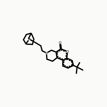 CC(C)(C)c1ccc2c3c(c(=O)oc2c1)CN(CCN1CC2CCC(CC2)C1)CC3